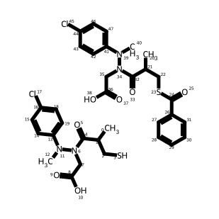 CC(CS)C(=O)N(CC(=O)O)N(C)c1ccc(Cl)cc1.CC(CSC(=O)c1ccccc1)C(=O)N(CC(=O)O)N(C)c1ccc(Cl)cc1